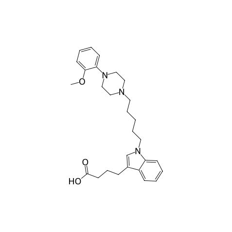 COc1ccccc1N1CCN(CCCCCn2cc(CCCC(=O)O)c3ccccc32)CC1